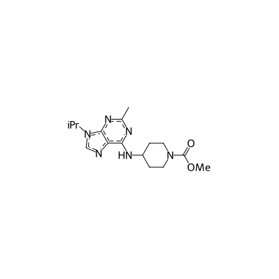 COC(=O)N1CCC(Nc2nc(C)nc3c2ncn3C(C)C)CC1